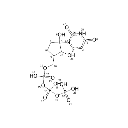 O=c1ccn(C2(O)CCC(COP(=O)(O)OP(=O)(O)OP(=O)(O)O)C2O)c(=O)[nH]1